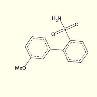 COc1cccc(-c2ccccc2S(N)(=O)=O)c1